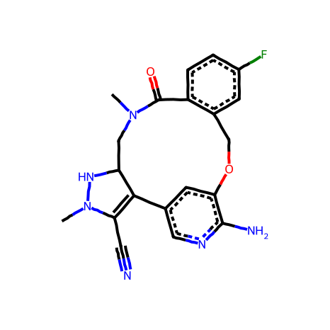 CN1CC2NN(C)C(C#N)=C2c2cnc(N)c(c2)OCc2cc(F)ccc2C1=O